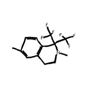 Cc1ccc2c(c1)CCN(C)C2(C(F)(F)F)C(F)(F)F